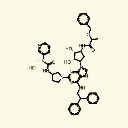 CC(OCc1ccccc1)C(=O)N[C@H]1C[C@@H](n2cnc3c(NCC(c4ccccc4)c4ccccc4)nc(N4CCC(NC(=O)Nc5cccnc5)C4)nc32)[C@H](O)[C@@H]1O.Cl